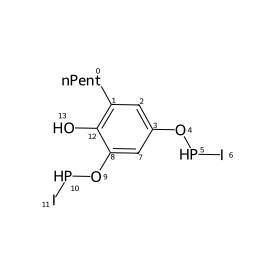 CCCCCc1cc(OPI)cc(OPI)c1O